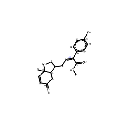 COC(=O)/C(=C\CC1COC2(C)C=CC(=O)CC12)c1ccc(F)cc1